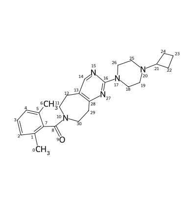 Cc1cccc(C)c1C(=O)N1CCc2cnc(N3CCN(C4CCC4)CC3)nc2CC1